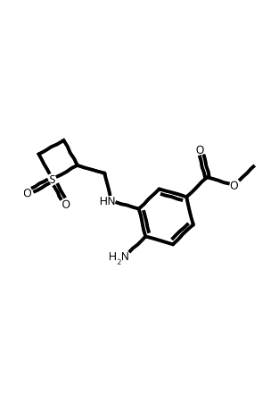 COC(=O)c1ccc(N)c(NCC2CCS2(=O)=O)c1